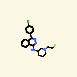 FCCN1CCCC(Nc2nnc(-c3ccc(Cl)cc3)c3ccccc23)C1